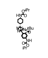 CC(C)OC(=O)Nc1ccc(-c2nnc([C@H]3CC[C@H](NC(=O)OC(C)C)CC3)s2)c(S(=N)(=O)C(C)(C)C)c1